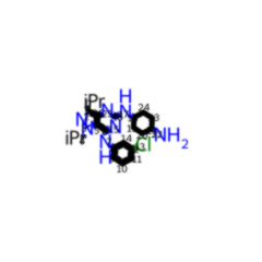 CC(C)c1nn(C(C)C)c2c(Nc3cccc(Cl)c3)nc(NC3CCC(N)CC3)nc12